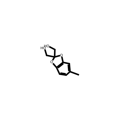 Cc1ccc2c(c1)OC(CO)(CO)O2